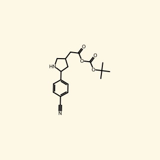 CC(C)(C)OC(=O)OC(=O)CC1CNC(c2ccc(C#N)cc2)C1